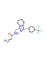 C=CC(=O)NCc1nc(-c2ccc(C(F)(F)F)cc2)n2ccccc12